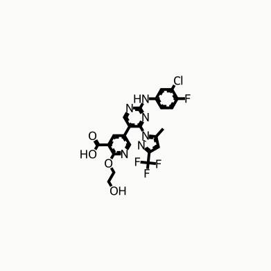 Cc1cc(C(F)(F)F)nn1-c1nc(Nc2ccc(F)c(Cl)c2)ncc1-c1cnc(OCCO)c(C(=O)O)c1